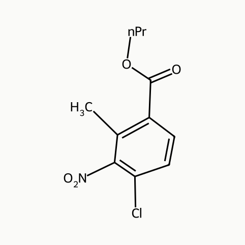 CCCOC(=O)c1ccc(Cl)c([N+](=O)[O-])c1C